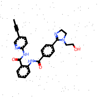 CC#Cc1ccc(NC(=O)c2ccccc2NC(=O)c2ccc(C3=NCCN3CCO)cc2)nc1